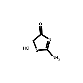 Cl.NC1=NC(=O)CS1